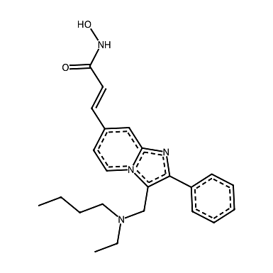 CCCCN(CC)Cc1c(-c2ccccc2)nc2cc(C=CC(=O)NO)ccn12